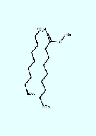 CCCCCCCCCCCCCCCCCC(=O)O.CCCCCCCCCCCCCCCCCC(=O)OCCCC